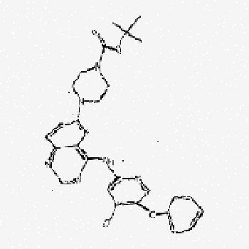 CC(C)(C)OC(=O)N1CCN(c2ccc3ncnc(Nc4cc(Cl)c(Oc5ccccc5)cn4)c3n2)CC1